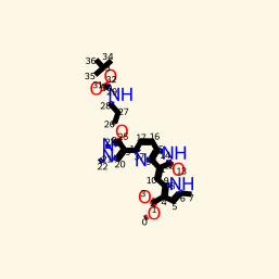 COC(=O)c1cc(C)[nH]c1/C=C1\C(=O)Nc2ccc(-c3cn(C)nc3OCCCNC(=O)OC(C)(C)C)nc21